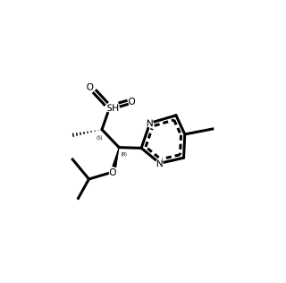 Cc1cnc([C@@H](OC(C)C)[C@H](C)[SH](=O)=O)nc1